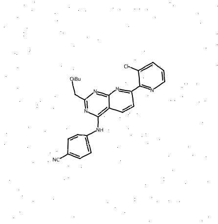 CC(C)COCc1nc(Nc2ccc(C#N)cc2)c2ccc(-c3ncccc3Cl)nc2n1